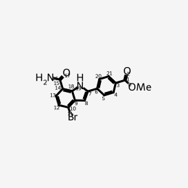 COC(=O)c1ccc(-c2cc3c(Br)ccc(C(N)=O)c3[nH]2)cc1